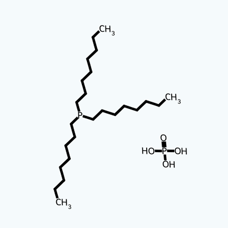 CCCCCCCCP(CCCCCCCC)CCCCCCCC.O=P(O)(O)O